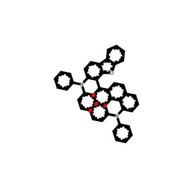 c1ccc(N(c2ccccc2)c2ccc3c(oc4ccccc43)c2-c2cccc3c2ccc2cccc(N(c4ccccc4)c4ccccc4)c23)cc1